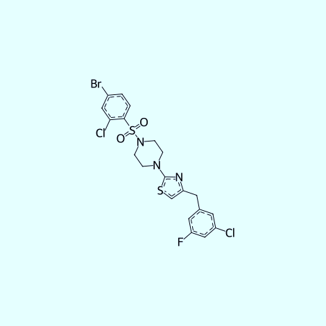 O=S(=O)(c1ccc(Br)cc1Cl)N1CCN(c2nc(Cc3cc(F)cc(Cl)c3)cs2)CC1